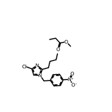 CCC(=O)OC.CCCCc1nc(Cl)cn1Cc1ccc([N+](=O)[O-])cc1